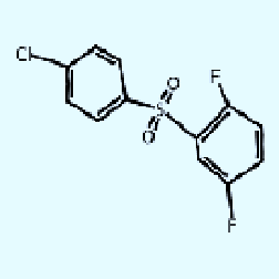 O=S(=O)(c1ccc(Cl)cc1)c1cc(F)ccc1F